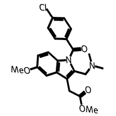 COC(=O)Cc1c(CN(C)C)n(C(=O)c2ccc(Cl)cc2)c2ccc(OC)cc12